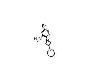 Nc1cc(Br)cnc1N1CC(N2CCCCC2)C1